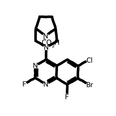 O=C(O)N1C2CCC1CN(c1nc(F)nc3c(F)c(Br)c(Cl)cc13)C2